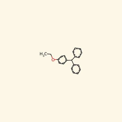 CCOc1ccc([C](c2ccccc2)c2ccccc2)cc1